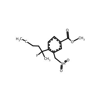 CCCCC(C)(F)c1ccc(C(=O)OC)cc1C[SH](=O)=O